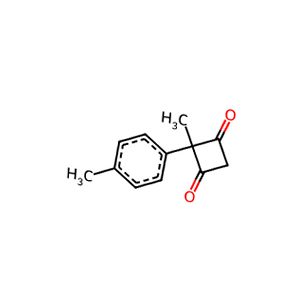 Cc1ccc(C2(C)C(=O)CC2=O)cc1